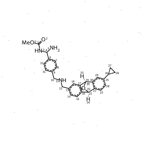 COC(=O)NC(N)c1ccc(CNCc2ccc3c(c2)[C@@H]2O[C@H]3c3ccc(C4CC4)cc32)cc1